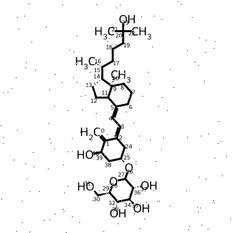 C=C1/C(=C\C=C2CCC[C@@]3(C)C2CC[C@@H]3[C@H](C)CCCC(C)(C)O)C[C@H](OC2O[C@H](CO)[C@@H](O)[C@H](O)[C@H]2O)CC1O